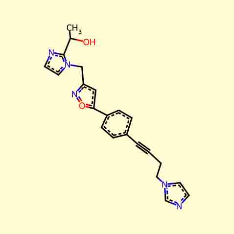 CC(O)c1nccn1Cc1cc(-c2ccc(C#CCCn3ccnc3)cc2)on1